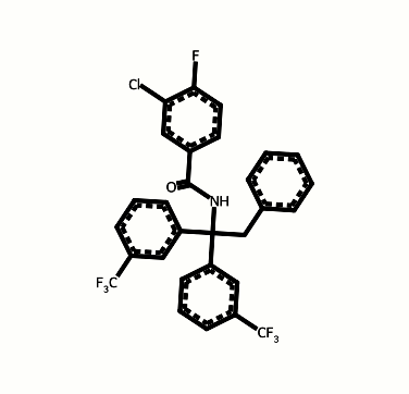 O=C(NC(Cc1ccccc1)(c1cccc(C(F)(F)F)c1)c1cccc(C(F)(F)F)c1)c1ccc(F)c(Cl)c1